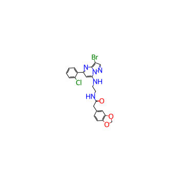 O=C(Cc1ccc2c(c1)OCO2)NCCNc1cc(-c2ccccc2Cl)nc2c(Br)cnn12